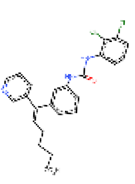 O=C(O)CCCC=C(c1cccnc1)c1cccc(NC(=O)Nc2cccc(Cl)c2Cl)c1